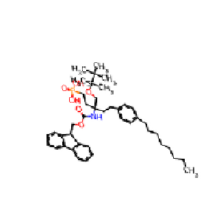 CCCCCCCCc1ccc(CCC(CCP(=O)(O)O)(CO[Si](C)(C)C(C)(C)C)NC(=O)OCC2c3ccccc3-c3ccccc32)cc1